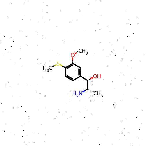 COc1cc([C@@H](O)[C@H](C)N)ccc1SC